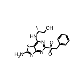 C[C@H](CO)Nc1nc(S(=O)(=O)Cc2ccccc2)nc2nc(N)sc12